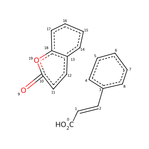 O=C(O)C=Cc1ccccc1.O=c1ccc2ccccc2o1